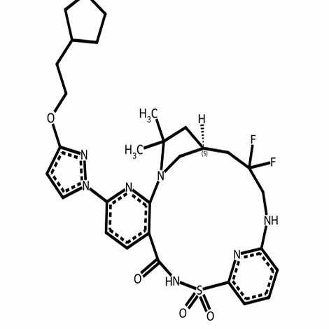 CC1(C)C[C@@H]2CN1c1nc(-n3ccc(OCCC4CCCC4)n3)ccc1C(=O)NS(=O)(=O)c1cccc(n1)NCC(F)(F)C2